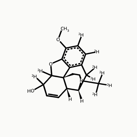 [2H]c1c([2H])c2c3c(c1OC)OC1([2H])C([2H])(O)C=C[C@H]4[C@H](N(C([2H])([2H])[2H])CC[C@@]341)C2([2H])[2H]